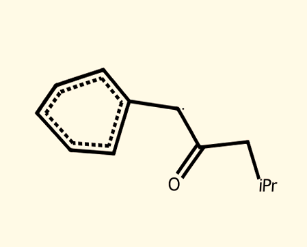 CC(C)CC(=O)[CH]c1ccccc1